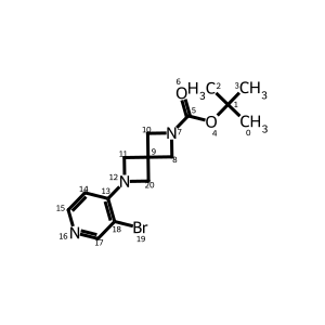 CC(C)(C)OC(=O)N1CC2(C1)CN(c1ccncc1Br)C2